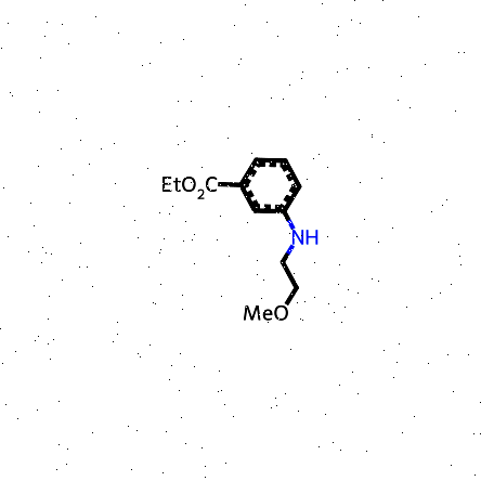 CCOC(=O)c1cccc(NCCOC)c1